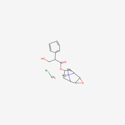 CBr.C[N+]1(C)C2CC(OC(=O)C(CO)c3ccccc3)CC1C1OC12